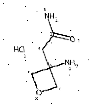 Cl.NC(=O)CC1(N)COC1